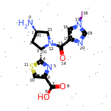 N[C@@H]1C[C@@H](c2nc(C(=O)O)cs2)N(C(=O)c2cn(I)cn2)C1